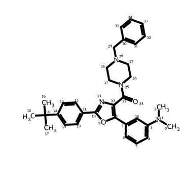 CN(C)c1cccc(-c2oc(-c3ccc(C(C)(C)C)cc3)nc2C(=O)N2CCN(Cc3ccccc3)CC2)c1